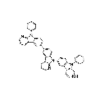 C1=Cc2c(n(-c3ccccc3)c3ccc(-n4c5ccc(-c6ccc7c(c6)c6cccnc6n7-c6ccccc6)cc5c5cccnc54)cc23)CN1